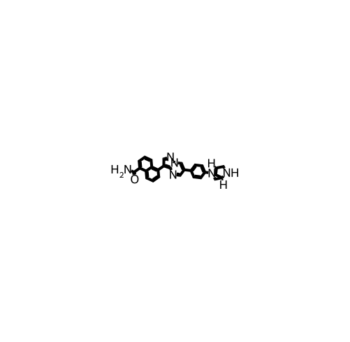 NC(=O)c1cccc2c(-c3cnn4cc(-c5ccc(N6C[C@@H]7C[C@H]6CN7)cc5)cnc34)cccc12